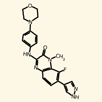 Cn1c(=O)c(Nc2ccc(N3CCOCC3)cc2)nc2ccc(-c3cn[nH]c3)c(F)c21